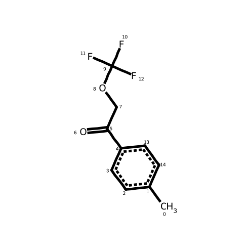 Cc1ccc(C(=O)COC(F)(F)F)cc1